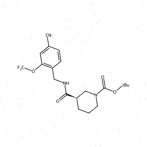 CC(C)(C)OC(=O)N1CCC[C@@H](C(=O)NCc2ccc(C#N)cc2OC(F)(F)F)C1